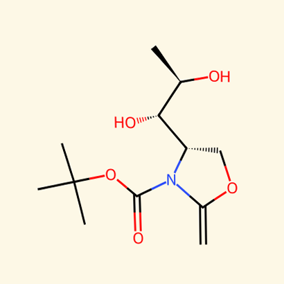 C=C1OC[C@@H]([C@H](O)[C@@H](C)O)N1C(=O)OC(C)(C)C